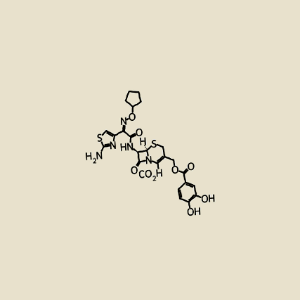 Nc1nc(/C(=N/OC2CCCC2)C(=O)N[C@@H]2C(=O)N3C(C(=O)O)=C(COC(=O)c4ccc(O)c(O)c4)CS[C@H]23)cs1